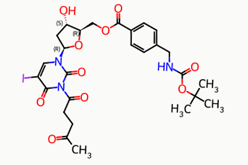 CC(=O)CCC(=O)n1c(=O)c(I)cn([C@H]2C[C@H](O)[C@@H](COC(=O)c3ccc(CNC(=O)OC(C)(C)C)cc3)O2)c1=O